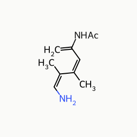 C=C(/C=C(C)\C(C)=C/N)NC(C)=O